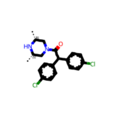 C[C@@H]1CN(C(=O)C(c2ccc(Cl)cc2)c2ccc(Cl)cc2)C[C@H](C)N1